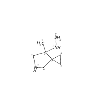 BNC1(C)CNCC12CC2